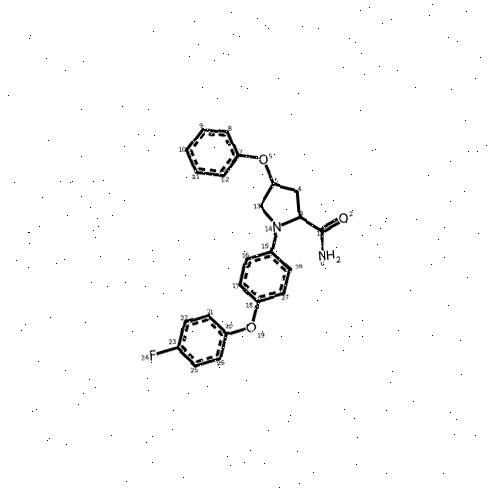 NC(=O)C1CC(Oc2ccccc2)CN1c1ccc(Oc2ccc(F)cc2)cc1